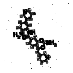 NC(=O)OC(Cc1cccnc1)c1ccc(C(=O)Nc2cc(-c3cccnc3)ccc2N)cc1